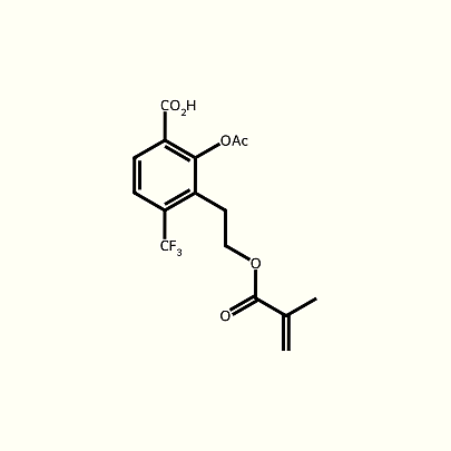 C=C(C)C(=O)OCCc1c(C(F)(F)F)ccc(C(=O)O)c1OC(C)=O